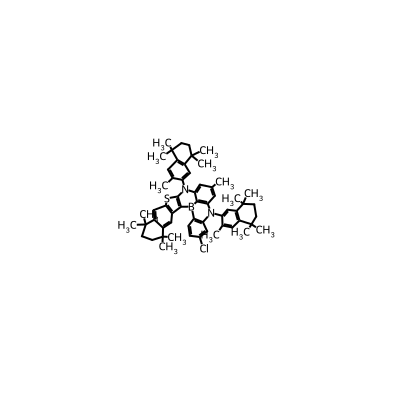 Cc1cc2c3c(c1)N(c1cc4c(cc1C)C(C)(C)CCC4(C)C)c1sc4cc5c(cc4c1B3c1ccc(Cl)cc1N2c1cc2c(cc1C)C(C)(C)CCC2(C)C)C(C)(C)CCC5(C)C